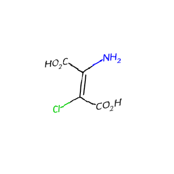 NC(C(=O)O)=C(Cl)C(=O)O